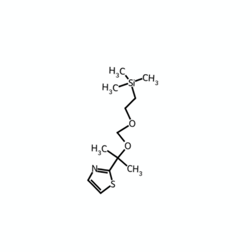 CC(C)(OCOCC[Si](C)(C)C)c1nccs1